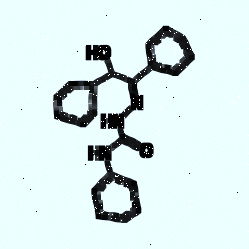 O=C(NN=C(c1ccccc1)C(O)c1ccccc1)Nc1ccccc1